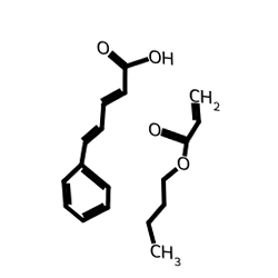 C=CC(=O)OCCCC.O=C(O)C=CC=Cc1ccccc1